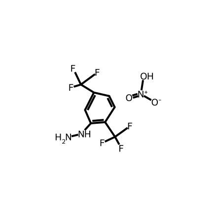 NNc1cc(C(F)(F)F)ccc1C(F)(F)F.O=[N+]([O-])O